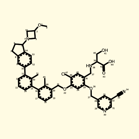 COC1CN(C2CCc3cc(-c4cccc(-c5cccc(COc6cc(OCc7cncc(C#N)c7)c(CNC(CO)C(=O)O)cc6Cl)c5C)c4C)ccc32)C1